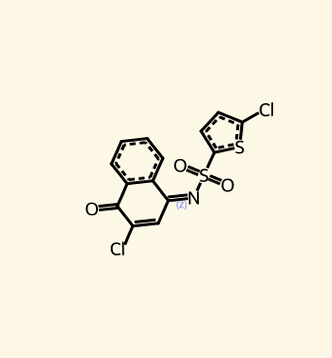 O=C1C(Cl)=C/C(=N/S(=O)(=O)c2ccc(Cl)s2)c2ccccc21